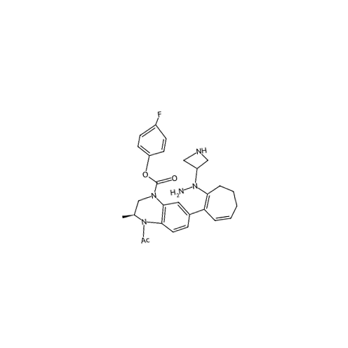 CC(=O)N1c2ccc(C3=C(N(N)C4CNC4)CCCC=C3)cc2N(C(=O)Oc2ccc(F)cc2)C[C@@H]1C